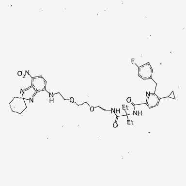 CCC(CC)(NC(=O)c1ccc(C2CC2)c(Cc2ccc(F)cc2)n1)C(=O)NCCOCCOCCNc1ccc([N+](=O)[O-])c2c1=NC1(CCCCC1)N=2